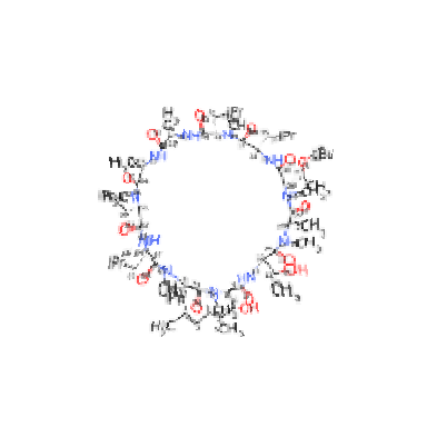 CC=CC[C@@H](C)[C@@H](O)[C@H]1C(=O)N[C@@H]([C@@H](C)O)C(=O)N(C)[C@H](C)C(=O)N(C)[C@@H](C(C)OC(C)(C)C)C(=O)N[C@@H](CC(C)C)C(=O)N(C)[C@@H](CC(C)C)C(=O)N[C@@H](C)C(=O)N[C@H](C)C(=O)N(C)[C@@H](CC(C)C)C(=O)N[C@@H](CC(C)C)C(=O)N(C)[C@@H](C(C)C)C(=O)N1C